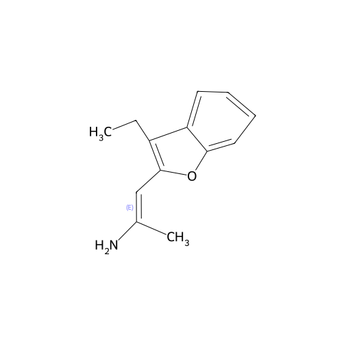 CCc1c(/C=C(\C)N)oc2ccccc12